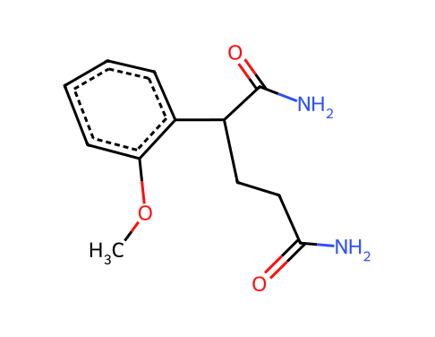 COc1ccccc1C(CCC(N)=O)C(N)=O